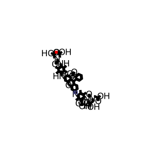 Cc1c(C)c(NC(=O)N(CC(=O)O)CC(=O)O)c(S(=O)(=O)O)c(C)c1/N=c1\ccc2c(-c3ccccc3S(=O)(=O)O)c3ccc(Nc4c(C)c(C)c(NC(=O)N(CC(=O)O)CC(=O)O)c(C)c4C)cc3oc-2c1